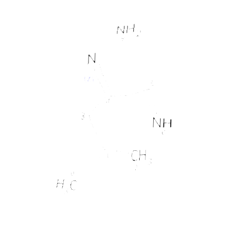 CC(C)C/C(C=N)=N/N